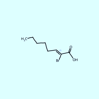 CCCCC/C=C(\Br)C(=O)O